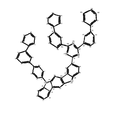 c1ccc(-c2cccc(-c3ccc(-n4c5ccccc5c5cc6oc7ccc(-c8nc(-c9cccc(-c%10ccccc%10)c9)nc(-c9cccc(-c%10ccccc%10)c9)n8)cc7c6cc54)cc3)c2)cc1